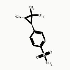 CC1(C)[C@@H](C#N)[C@@H]1c1ccc(S(N)(=O)=O)nc1